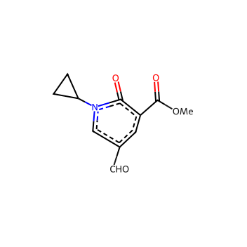 COC(=O)c1cc(C=O)cn(C2CC2)c1=O